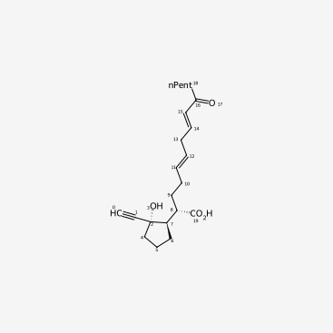 C#C[C@]1(O)CCC[C@@H]1[C@H](CCC=CCC=CC(=O)CCCCC)C(=O)O